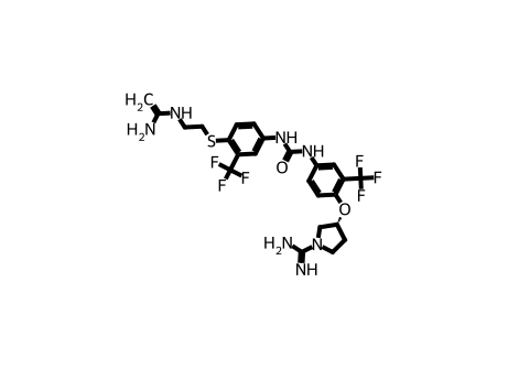 C=C(N)NCCSc1ccc(NC(=O)Nc2ccc(O[C@@H]3CCN(C(=N)N)C3)c(C(F)(F)F)c2)cc1C(F)(F)F